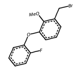 COc1c(CBr)cccc1Oc1ccccc1F